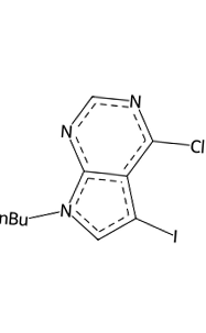 CCCCn1cc(I)c2c(Cl)ncnc21